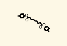 Cc1ccc(OC(=O)CCCCCCCC(=O)Oc2ccc(C)cc2)cc1